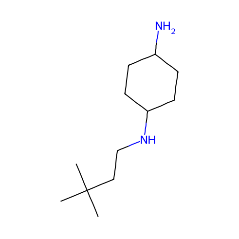 CC(C)(C)CCNC1CCC(N)CC1